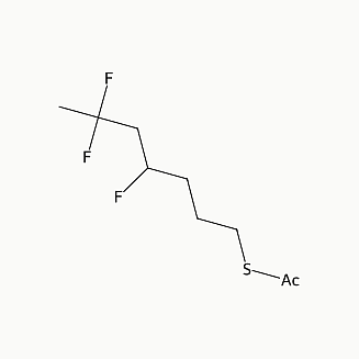 CC(=O)SCCCC(F)CC(C)(F)F